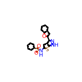 O=S(=O)(Nc1cc2c(-c3cc4ccccc4o3)n[nH]c2s1)c1ccccc1